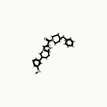 COc1cccc(C2CCc3nc(C(=O)N4CCC(Cc5ccccc5)CC4)cn3C2)c1